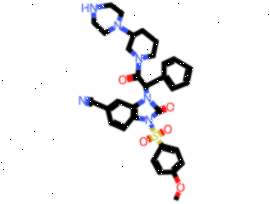 COc1ccc(S(=O)(=O)n2c(=O)n(C(C(=O)N3CCCC(N4CCNCC4)C3)c3ccccc3)c3cc(C#N)ccc32)cc1